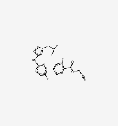 N#CCNC(=O)c1ccc(-c2nc(Nc3cnn(CC(F)F)c3)ncc2F)cc1F